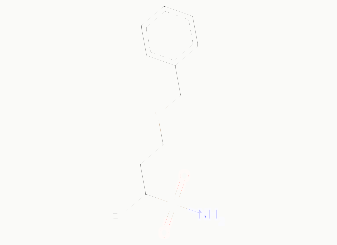 CCC(CCSCc1ccccc1)S(N)(=O)=O